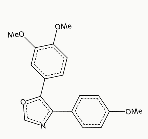 COc1ccc(-c2ncoc2-c2ccc(OC)c(OC)c2)cc1